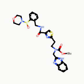 CC(C)(C)OC(=O)N(CCc1nc(C(=O)NCc2ccccc2[S+]([O-])N2CCOCC2)cs1)Cc1nc2ccccc2[nH]1